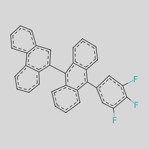 Fc1cc(-c2c3ccccc3c(-c3cc4ccccc4c4ccccc34)c3ccccc23)cc(F)c1F